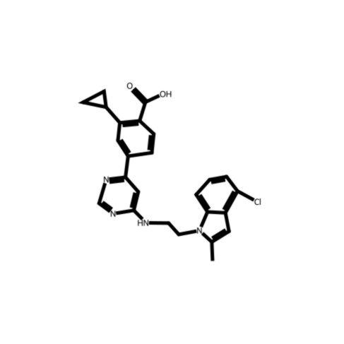 Cc1cc2c(Cl)cccc2n1CCNc1cc(-c2ccc(C(=O)O)c(C3CC3)c2)ncn1